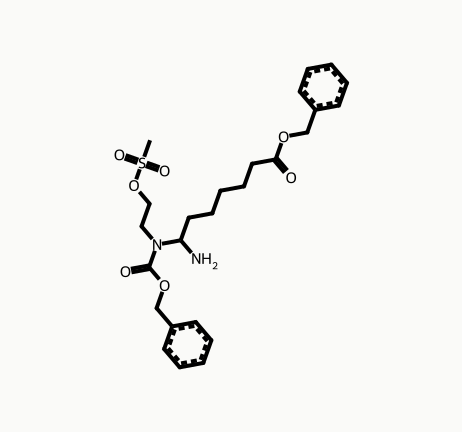 CS(=O)(=O)OCCN(C(=O)OCc1ccccc1)C(N)CCCCCC(=O)OCc1ccccc1